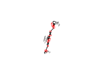 C=CC(=O)OCCCCCCOc1ccc(C(=O)Oc2ccc(OC(=O)c3ccc(-c4ccc(OCCCCCCOC(=O)C=C)cc4)cc3)c(C(F)(F)F)c2C(F)(F)F)cc1